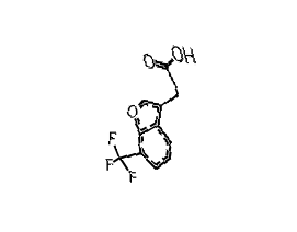 O=C(O)Cc1coc2c(C(F)(F)F)cccc12